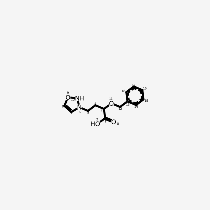 O=C(O)C(CCN1C=CON1)OCc1ccccc1